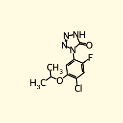 CC(C)Oc1cc(-n2nn[nH]c2=O)c(F)cc1Cl